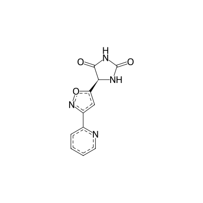 O=C1NC(=O)[C@H](c2cc(-c3ccccn3)no2)N1